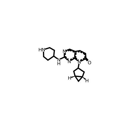 O=c1ccc2cnc(NC3CCNCC3)nc2n1C1C[C@@H]2C[C@@H]2C1